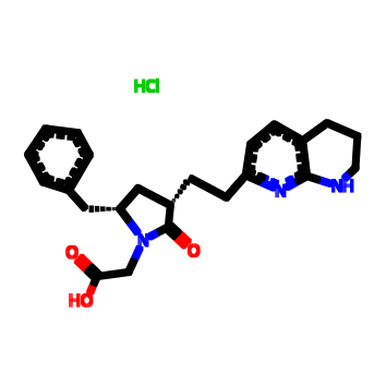 Cl.O=C(O)CN1C(=O)[C@@H](CCc2ccc3c(n2)NCCC3)C[C@H]1Cc1ccccc1